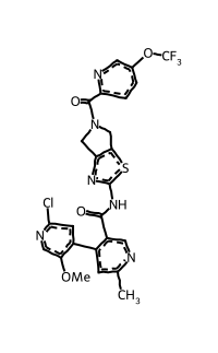 COc1cnc(Cl)cc1-c1cc(C)ncc1C(=O)Nc1nc2c(s1)CN(C(=O)c1ccc(OC(F)(F)F)cn1)C2